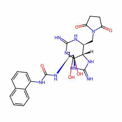 N=C1N[C@H]2[C@H](CN3C(=O)CCC3=O)NC(=N)N3C[C@H](NC(=O)Nc4cccc5ccccc45)C(O)(O)[C@]23N1